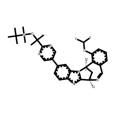 CC(C)(O[Si](C)(C)C(C)(C)C)c1ncc(-c2ccc3nc4n(c3c2)[C@@H]2C[C@H]4N=Cc3cccc(OC(F)F)c32)cn1